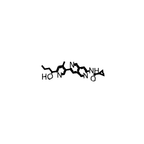 CCCC(O)c1cc(C)c(-c2cc3cnc(NC(=O)C4CC4)cc3cn2)cn1